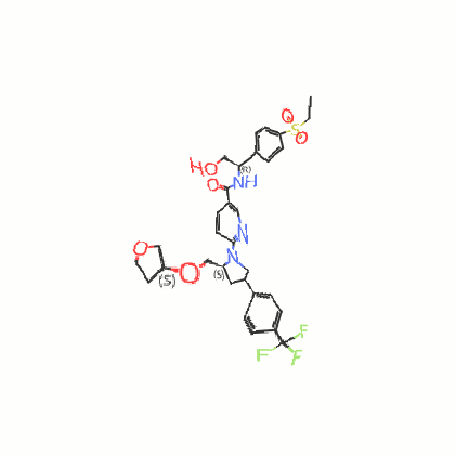 CCS(=O)(=O)c1ccc([C@H](CO)NC(=O)c2ccc(N3CC(c4ccc(C(F)(F)F)cc4)C[C@H]3CO[C@H]3CCOC3)nc2)cc1